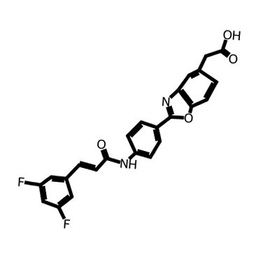 O=C(O)Cc1ccc2oc(-c3ccc(NC(=O)C=Cc4cc(F)cc(F)c4)cc3)nc2c1